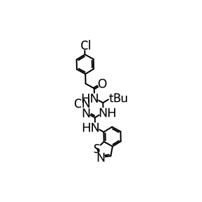 CC(C)(C)C(NC(=O)Cc1ccc(Cl)cc1)N/C(=N\C#N)Nc1cccc2cnsc12